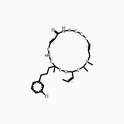 C/C=C\C1CC(C)N(C)C/C=C/CCCSNC(=O)/C=C/CNCC(C)(CCCc2cccc(Cl)c2)CO1